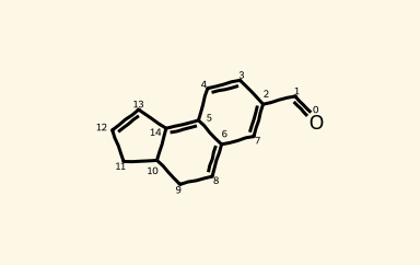 O=Cc1ccc2c(c1)=CCC1CC=CC=21